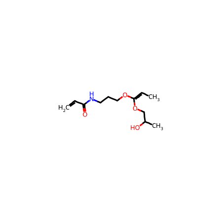 C=CC(=O)NCCCOC(=CC)OCC(C)O